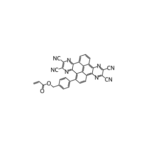 C=CC(=O)OCc1ccc(-c2ccc3c4nc(C#N)c(C#N)nc4c4cccc5c6nc(C#N)c(C#N)nc6c2c3c45)cc1